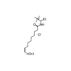 CCCCCCCC/C=C\CCCCCCCC(=O)NC(CC)[N+](C)(C)C.[Cl-]